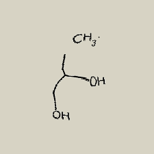 CC(O)CO.[CH3]